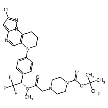 CN(C(=O)CN1CCN(C(=O)OC(C)(C)C)CC1)[C@@H](c1ccc(N2CCCc3c2cnc2cc(Cl)nn32)cc1)C(F)(F)F